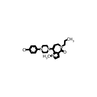 CCCN1CC=C(N2CCN(c3ccc(Cl)cc3)CC2)c2c(ccn2C)C1=O